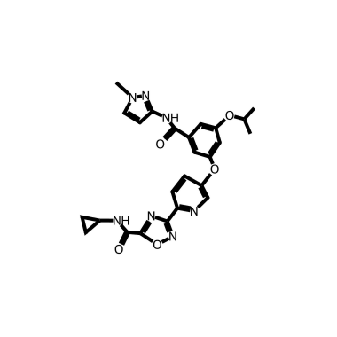 CC(C)Oc1cc(Oc2ccc(-c3noc(C(=O)NC4CC4)n3)nc2)cc(C(=O)Nc2ccn(C)n2)c1